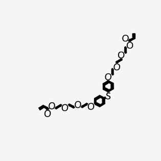 C=CC(=O)OCCOCCOCCOc1ccc(Sc2ccc(OCCOCCOCCOC(=O)C=C)cc2)cc1